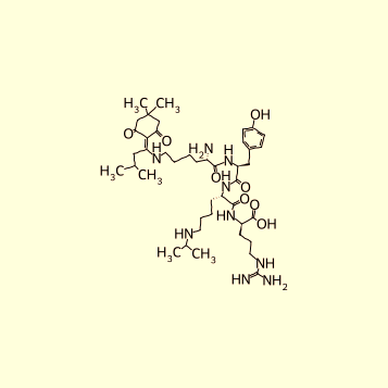 CC(C)CC(NCCCC[C@H](N)C(=O)N[C@@H](Cc1ccc(O)cc1)C(=O)N[C@@H](CCCCNC(C)C)C(=O)N[C@H](CCCNC(=N)N)C(=O)O)=C1C(=O)CC(C)(C)CC1=O